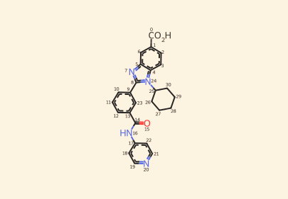 O=C(O)c1ccc2c(c1)nc(-c1cccc(C(=O)Nc3ccncc3)c1)n2C1CCCCC1